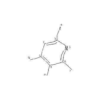 Cc1cc(I)nc(C)c1C